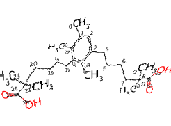 Cc1cc(CCCCC(C)(C)C(=O)O)c(C)c(CCCCC(C)(C)C(=O)O)c1C